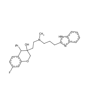 CC(C)C1c2ccc(F)cc2OCC1(O)CCN(C)CCCc1nc2ccccc2[nH]1